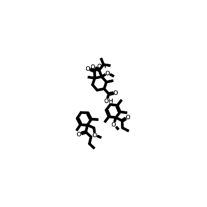 CCC(=O)C1(OC)C(C)=CCC(C)=C1C.CCCC(=O)C1(COC)C(C)=CCC=C1C.COC1(C(=O)C(C)C)C(C)C(C(=O)O)CCC1(C)C(=O)O